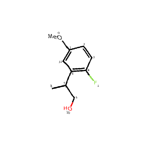 COc1ccc(F)c([C](C)CO)c1